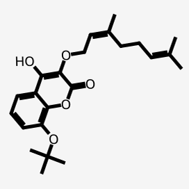 CC(C)=CCCC(C)=CCOc1c(O)c2cccc(OC(C)(C)C)c2oc1=O